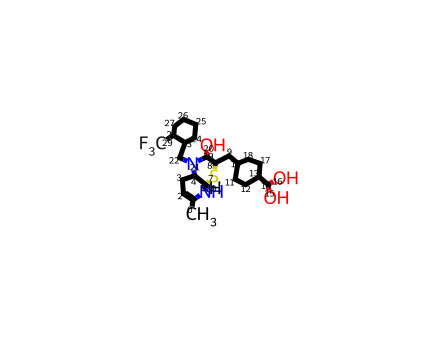 CC1=CCC2[C@@H](N1)SC(CC1CCC(C(O)O)CC1)C(O)N2CC1CCCCC1C(F)(F)F